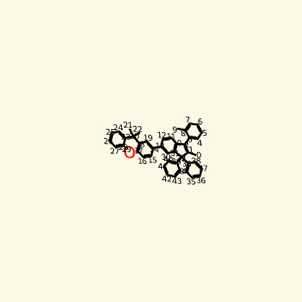 CC1=C(c2ccccc2C)c2ccc(-c3ccc4c(c3)C(C)(C)c3ccccc3O4)cc2C1(c1ccccc1)c1ccccc1